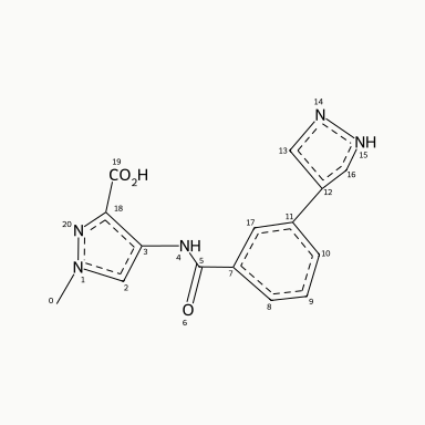 Cn1cc(NC(=O)c2cccc(-c3cn[nH]c3)c2)c(C(=O)O)n1